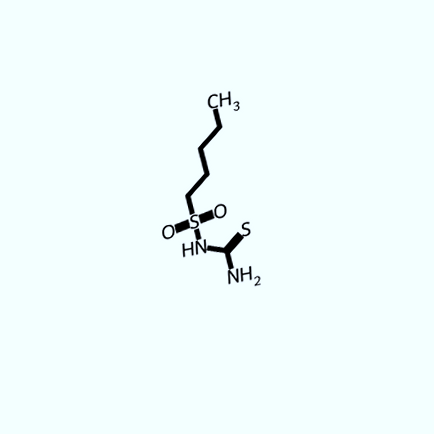 CCCCCS(=O)(=O)NC(N)=S